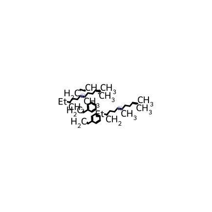 C=C(CC)CC/C=C(\C)CCC=C(C)C.C=C(CC)CC/C=C(\C)CCC=C(C)C.C=CC=C.C=Cc1ccccc1.C=Cc1ccccc1